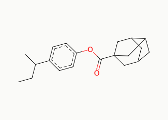 CCC(C)c1ccc(OC(=O)C23CC4CC(C2)C(C4)C3)cc1